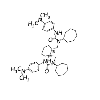 CN(C)c1ccc(NC(=O)N(C[C@H]2CCCC[C@H]2CN(C(=O)Nc2ccc(N(C)C)cc2)C2CCCCCC2)C2CCCCCC2)cc1